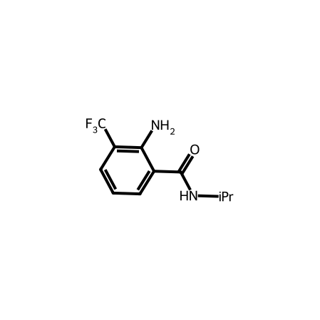 CC(C)NC(=O)c1cccc(C(F)(F)F)c1N